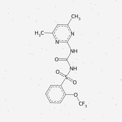 Cc1cc(C)nc(NC(=O)NS(=O)(=O)c2ccccc2OC(F)(F)F)n1